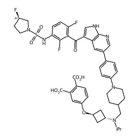 CC(C)N(CC1CCN(c2ccc(-c3cnc4[nH]cc(C(=O)c5c(F)ccc(NS(=O)(=O)N6CC[C@@H](F)C6)c5F)c4c3)cc2)CC1)[C@H]1C[C@H](Oc2ccc(C(=O)O)c(C(=O)O)c2)C1